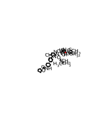 CC(C)(C)[Si](C)(C)O[C@@H]1CO[C@H]2[C@@H]1OC[C@H]2Oc1nc2cc(Cl)c(-c3ccc([C@H]4CC[C@H](NC(=O)OC5CCCC5)CC4)cc3)nc2n1COCC[Si](C)(C)C